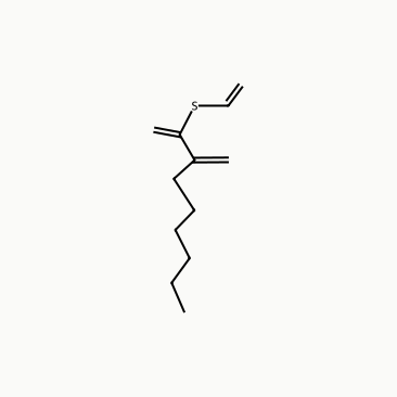 C=CSC(=C)C(=C)CCCCCC